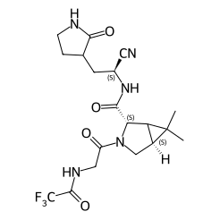 CC1(C)C2[C@@H](C(=O)N[C@H](C#N)CC3CCNC3=O)N(C(=O)CNC(=O)C(F)(F)F)C[C@@H]21